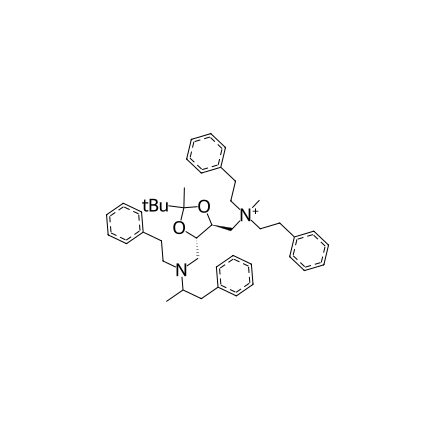 CC(Cc1ccccc1)N(CCc1ccccc1)C[C@@H]1OC(C)(C(C)(C)C)O[C@H]1C[N+](C)(CCc1ccccc1)CCc1ccccc1